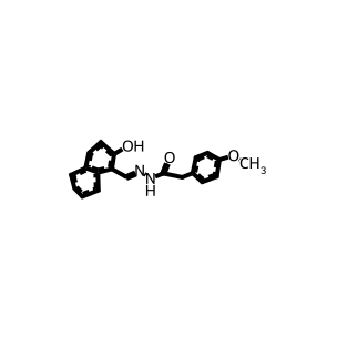 COc1ccc(CC(=O)NN=Cc2c(O)ccc3ccccc23)cc1